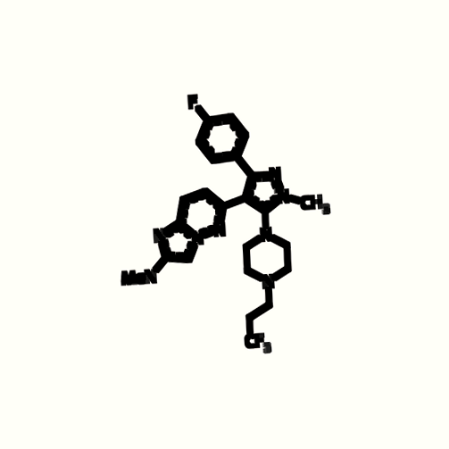 CNc1cn2nc(-c3c(-c4ccc(F)cc4)nn(C)c3N3CCN(CCC(F)(F)F)CC3)ccc2n1